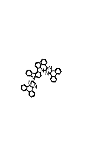 c1ccc(-c2nc3c4ccccc4c4ccccc4c3nc2-n2c3ccccc3c3c4c5ccccc5n(-c5cnc6c7ccccc7c7ccccc7c6n5)c4ccc32)cc1